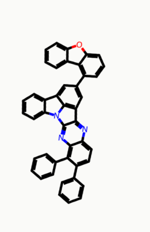 c1ccc(-c2ccc3nc4c5cc(-c6cccc7oc8ccccc8c67)cc6c7ccccc7n(c4nc3c2-c2ccccc2)c65)cc1